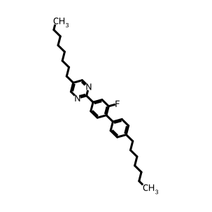 CCCCCCCCc1cnc(-c2ccc(-c3ccc(CCCCCCC)cc3)c(F)c2)nc1